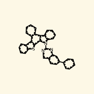 c1ccc(-c2ccc3cnc(-n4c5ccccc5c5c6ccccc6c6c7ccccc7sc6c54)nc3c2)cc1